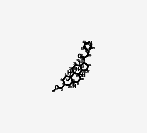 COC[C@H]1CC[C@@]2(C)[C@H](CC[C@@H]3[C@@H]2CC[C@]2(C)[C@@H](C(=O)Cn4ccnc4)CC[C@@H]32)C1